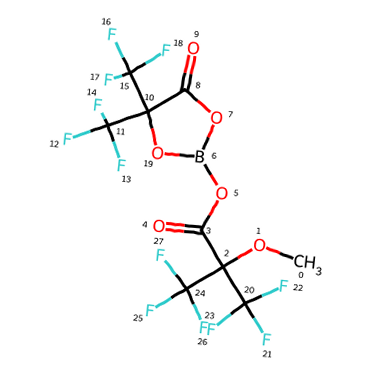 COC(C(=O)OB1OC(=O)C(C(F)(F)F)(C(F)(F)F)O1)(C(F)(F)F)C(F)(F)F